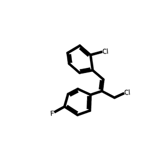 Fc1ccc(/C(=C\c2ccccc2Cl)CCl)cc1